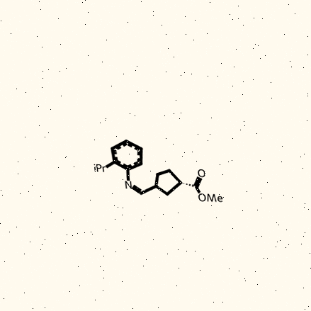 COC(=O)[C@H]1CCC(/C=N\c2ccccc2C(C)C)C1